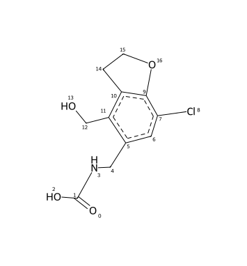 O=C(O)NCc1cc(Cl)c2c(c1CO)CCO2